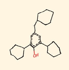 Oc1c(C2CCCCC2)cc([CH]C2CCCCC2)cc1C1CCCCC1